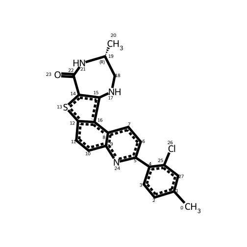 Cc1ccc(-c2ccc3c(ccc4sc5c(c43)NC[C@@H](C)NC5=O)n2)c(Cl)c1